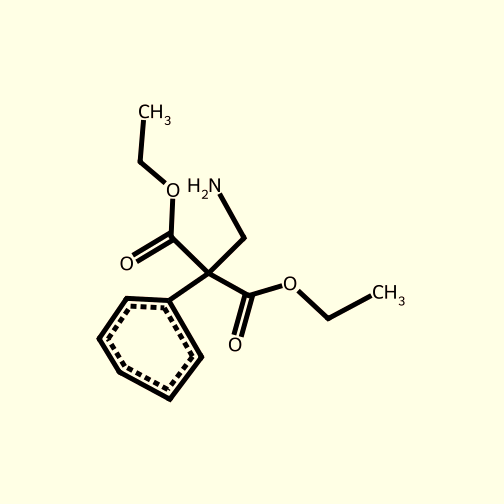 CCOC(=O)C(CN)(C(=O)OCC)c1ccccc1